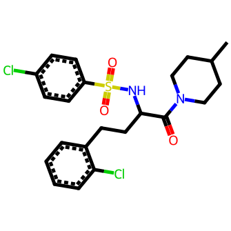 CC1CCN(C(=O)C(CCc2ccccc2Cl)NS(=O)(=O)c2ccc(Cl)cc2)CC1